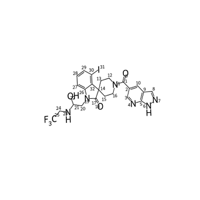 O=C(c1cnc2[nH]ncc2c1)N1CCC2(CC1)C(=O)N(CC(O)NCC(F)(F)F)c1cccc(I)c12